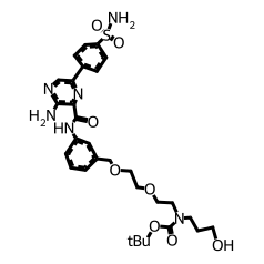 CC(C)(C)OC(=O)N(CCCO)CCOCCOCc1cccc(NC(=O)c2nc(-c3ccc(S(N)(=O)=O)cc3)cnc2N)c1